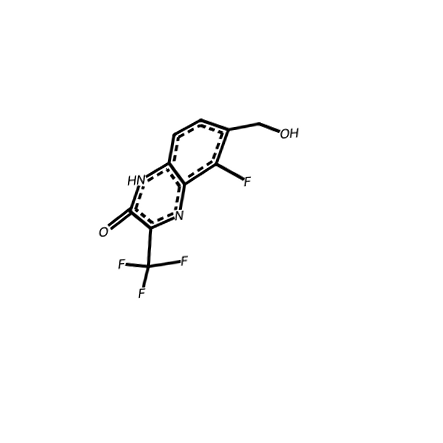 O=c1[nH]c2ccc(CO)c(F)c2nc1C(F)(F)F